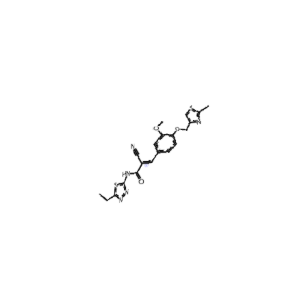 CCc1nnc(NC(=O)/C(C#N)=C/c2ccc(OCc3csc(C)n3)c(OC)c2)s1